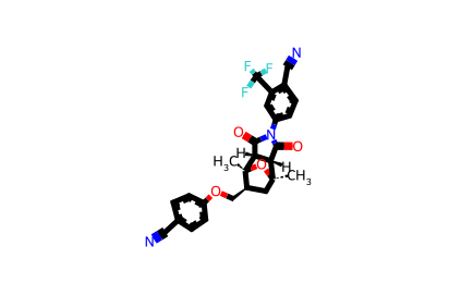 C[C@]12O[C@](C)(C[C@H]1COc1ccc(C#N)cc1)[C@H]1C(=O)N(c3ccc(C#N)c(C(F)(F)F)c3)C(=O)[C@H]12